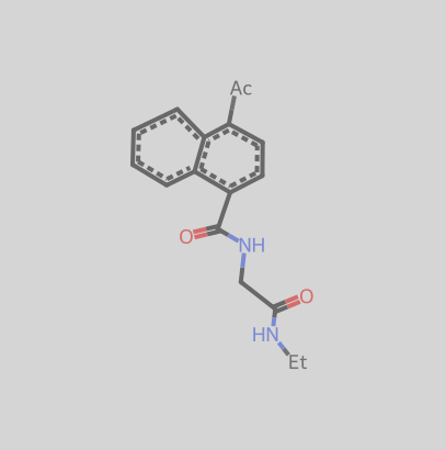 CCNC(=O)CNC(=O)c1ccc(C(C)=O)c2ccccc12